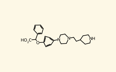 O=C(O)C(Oc1ccc(N2CCN(CCC3CCNCC3)CC2)cc1)c1ccccc1